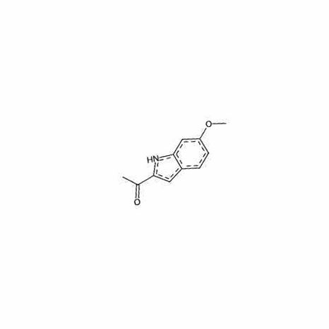 COc1ccc2cc(C(C)=O)[nH]c2c1